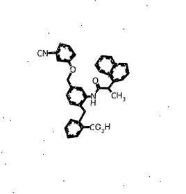 [C-]#[N+]c1cccc(OCc2ccc(Cc3ccccc3C(=O)O)c(NC(=O)C(C)c3cccc4ccccc34)c2)c1